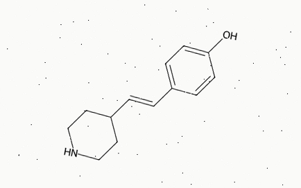 Oc1ccc(/C=C/C2CCNCC2)cc1